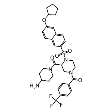 NC1CCN(C(=O)[C@@H]2CN(C(=O)c3ccc(C(F)(F)F)cc3)CCN2S(=O)(=O)c2ccc3cc(OC4CCCC4)ccc3c2)CC1